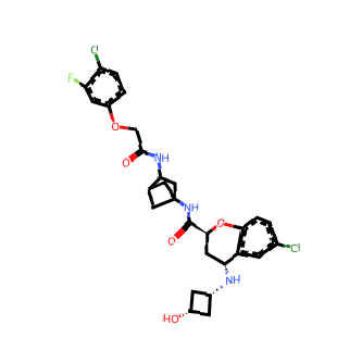 O=C(COc1ccc(Cl)c(F)c1)NC1CC2(NC(=O)[C@@H]3C[C@@H](N[C@H]4C[C@@H](O)C4)c4cc(Cl)ccc4O3)CC1C2